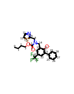 CCCCOC(=O)N(Cc1nccs1)Cc1cc(C(F)(F)F)cc(-c2ccccc2)c1[O]